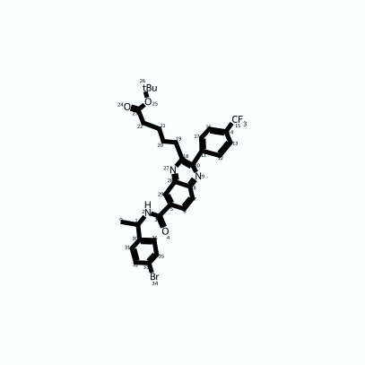 CC(NC(=O)c1ccc2nc(-c3ccc(C(F)(F)F)cc3)c(CCCCC(=O)OC(C)(C)C)nc2c1)c1ccc(Br)cc1